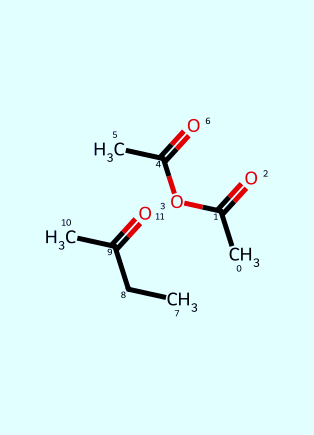 CC(=O)OC(C)=O.CCC(C)=O